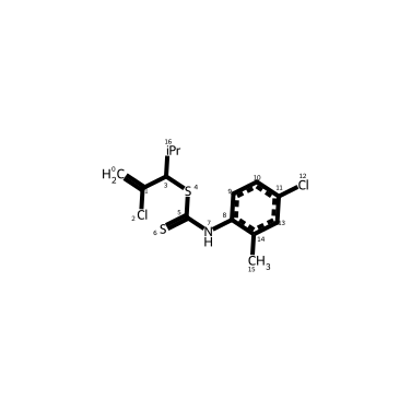 C=C(Cl)C(SC(=S)Nc1ccc(Cl)cc1C)C(C)C